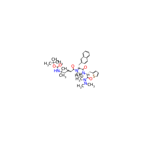 CN(C(=O)C=CCC(C)(C)NC(=O)OC(C)(C)C)[C@H](Cc1ccc2ccccc2c1)C(=O)N(C)[C@H](Cc1cccs1)C(=O)N(C)N(C)C